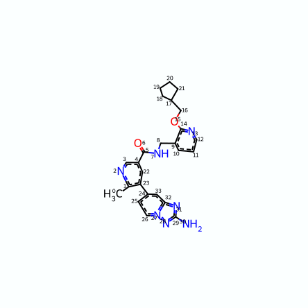 Cc1ncc(C(=O)NCc2cccnc2OCC2CCCC2)cc1-c1ccn2nc(N)nc2c1